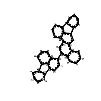 c1ccc2c(c1)-c1cccc3c1c-2cc1c2ccccc2c(-c2ccc4c5c(cccc25)-c2cccnc2-4)cc31